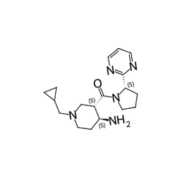 N[C@H]1CCN(CC2CC2)C[C@@H]1C(=O)N1CCC[C@H]1c1ncccn1